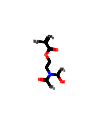 C=C(C)C(=O)OCCN(C(=O)C(F)(F)F)C(O)C(F)(F)F